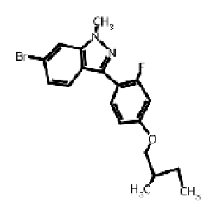 CCC(C)COc1ccc(-c2nn(C)c3cc(Br)ccc23)c(F)c1